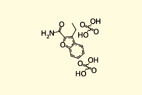 CCc1c(C(N)=O)oc2ccccc12.O=S(=O)(O)O.O=S(=O)(O)O